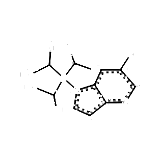 CC(C)S(C(C)C)(C(C)C)n1ccc2ncc(Br)cc21